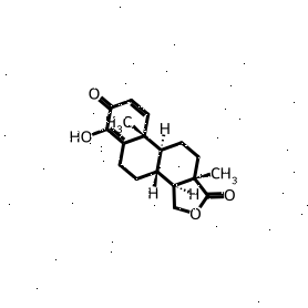 C[C@]12C=CC(=O)C(O)=C1CC[C@@H]1[C@@H]2CC[C@]2(C)C(=O)OC[C@@H]12